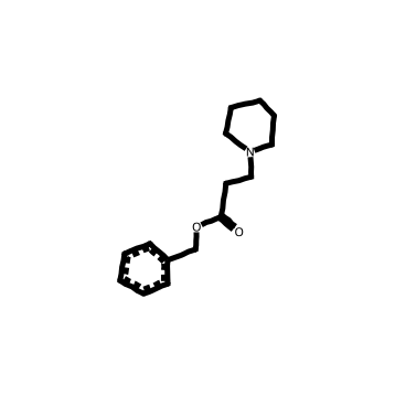 O=C(CCN1CCCCC1)OCc1ccccc1